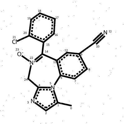 Cc1cnc2n1-c1ccc(C#N)cc1C(c1ccccc1Cl)=[N+]([O-])C2